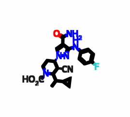 CC(C1CC1)C1[C@H](C#N)[C@@H](n2cc(C(N)=O)c(Nc3ccc(F)cc3)n2)CCN1C(=O)O